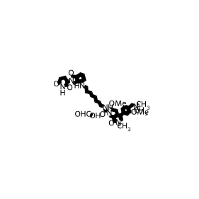 COc1cc(-c2cn(C)c(=O)c3c2CCN(C(=O)NCCCCCCCCNc2cccc4c2CN(C2CCC(=O)NC2=O)C4=O)C3)cc(OC)c1CN(C)C.O=CO